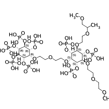 COCCOCCO[C@H]1[C@H](OP(=O)(O)O)[C@H](OCCOCCO[C@H]2[C@@H](OP(=O)(O)O)[C@H](OP(=O)(O)O)[C@@H](OP(=O)(O)O)[C@H](OP(=O)(O)O)[C@H]2OP(=O)(O)O)[C@H](OP(=O)(O)O)[C@@H](OCCOC(C)COC)[C@@H]1OP(=O)(O)O